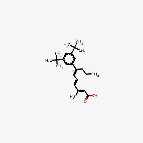 CCC/C(=C\C=CC(C)=CC(=O)O)c1cc(C(C)(C)C)cc(C(C)(C)C)c1